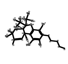 [2H]c1c(O)c2c(c([2H])c1CCCCC)OC(C([2H])([2H])[2H])(C([2H])([2H])[2H])[C@@H]1CC([2H])([2H])C(C)=C[C@@H]21